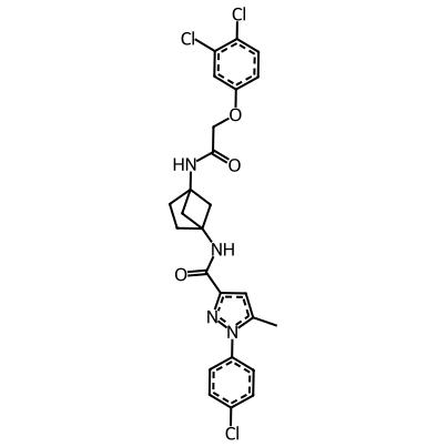 Cc1cc(C(=O)NC23CCC(NC(=O)COc4ccc(Cl)c(Cl)c4)(C2)C3)nn1-c1ccc(Cl)cc1